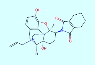 C=CCN1CC[C@]23c4c5ccc(O)c4O[C@H]2[C@@H](N2C(=O)C4=C(CCCC4)C2=O)CC[C@@]3(O)[C@H]1C5